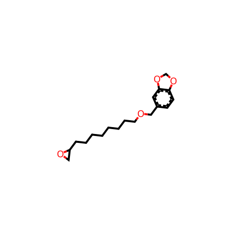 c1cc2c(cc1COCCCCCCCCC1CO1)OCO2